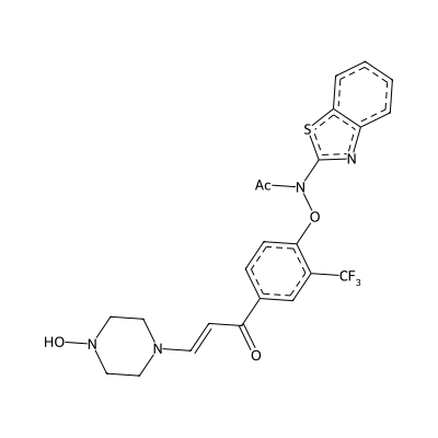 CC(=O)N(Oc1ccc(C(=O)C=CN2CCN(O)CC2)cc1C(F)(F)F)c1nc2ccccc2s1